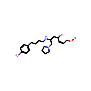 CCCC(/C=C\COCC)CC(CN1CCCC1)NCCCCc1ccc(P)cc1